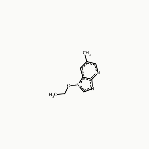 CCOn1cnc2ncc(C)cc21